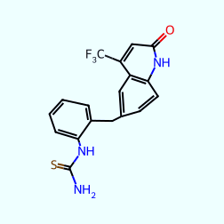 NC(=S)Nc1ccccc1Cc1ccc2[nH]c(=O)cc(C(F)(F)F)c2c1